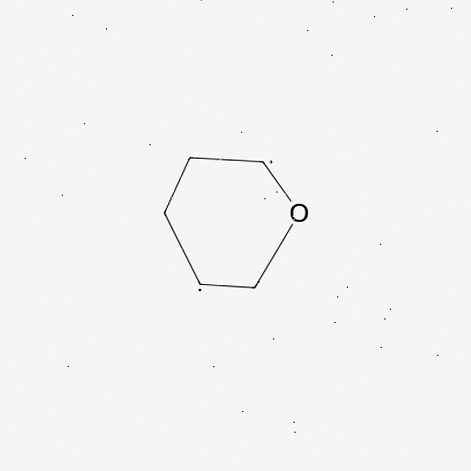 [CH]1CC[CH]OC1